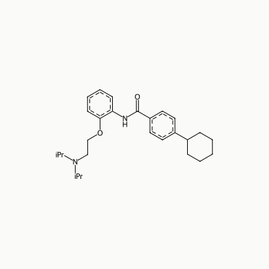 CC(C)N(CCOc1ccccc1NC(=O)c1ccc(C2CCCCC2)cc1)C(C)C